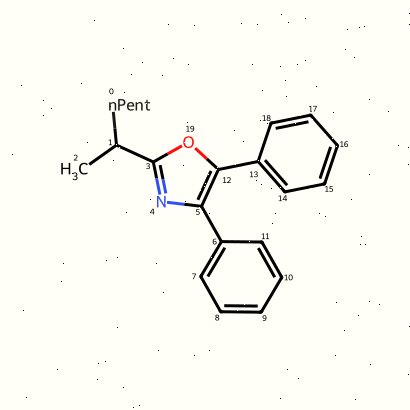 CCCCCC(C)c1nc(-c2ccccc2)c(-c2ccccc2)o1